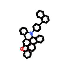 c1ccc(N(c2ccc(-c3cccc4ccccc34)cc2)c2cc3ccccc3c3ccccc23)c(-c2ccc3c(c2)oc2ccccc23)c1